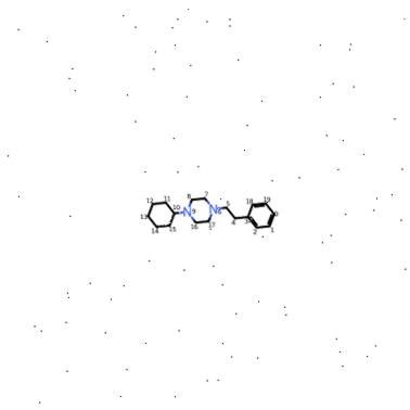 c1ccc(CCN2CCN(C3CCCCC3)CC2)cc1